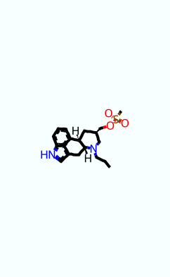 CCCN1C[C@H](COS(C)(=O)=O)C[C@@H]2c3cccc4[nH]cc(c34)C[C@H]21